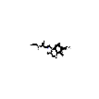 CCOC(=O)/C=C/N1c2ccc(F)c(F)c2OCC1C